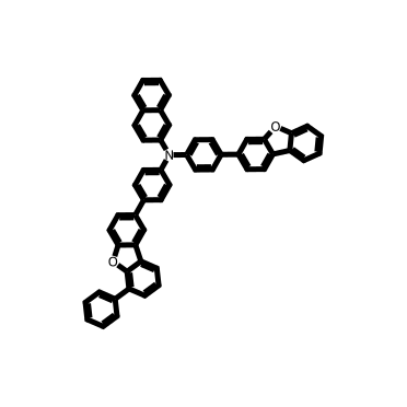 c1ccc(-c2cccc3c2oc2ccc(-c4ccc(N(c5ccc(-c6ccc7c(c6)oc6ccccc67)cc5)c5ccc6ccccc6c5)cc4)cc23)cc1